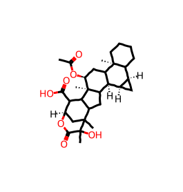 CC(=O)O[C@H]1CC2[C@H](C3CC4C(C(C(=O)O)[C@H]5CC4(C)C(C)(O)C(=O)O5)[C@]31C)[C@@H]1C[C@@H]1C1CCCC[C@]21C